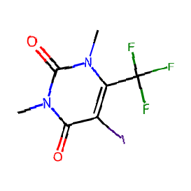 Cn1c(C(F)(F)F)c(I)c(=O)n(C)c1=O